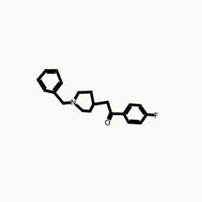 O=C(CC1CCN(Cc2ccccc2)CC1)c1ccc(F)cc1